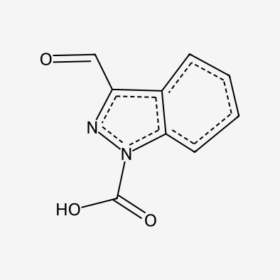 O=Cc1nn(C(=O)O)c2ccccc12